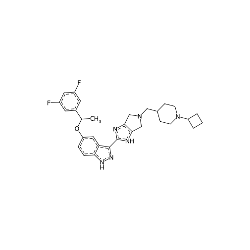 CC(Oc1ccc2[nH]nc(-c3nc4c([nH]3)CN(CC3CCN(C5CCC5)CC3)C4)c2c1)c1cc(F)cc(F)c1